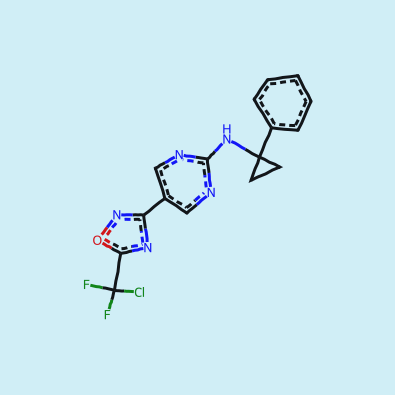 FC(F)(Cl)c1nc(-c2cnc(NC3(c4ccccc4)CC3)nc2)no1